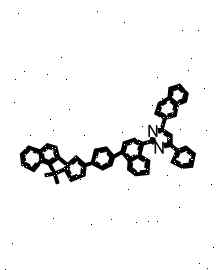 CC1(C)c2ccc(-c3ccc(-c4ccc(-c5nc(-c6ccccc6)cc(-c6ccc7ccccc7c6)n5)c5ccccc45)cc3)cc2-c2ccc3ccccc3c21